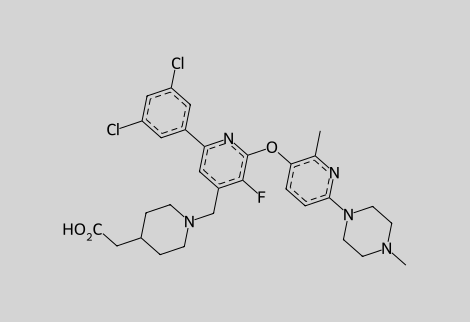 Cc1nc(N2CCN(C)CC2)ccc1Oc1nc(-c2cc(Cl)cc(Cl)c2)cc(CN2CCC(CC(=O)O)CC2)c1F